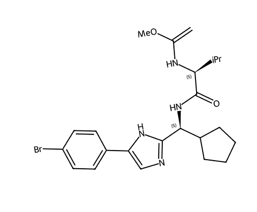 C=C(N[C@H](C(=O)N[C@H](c1ncc(-c2ccc(Br)cc2)[nH]1)C1CCCC1)C(C)C)OC